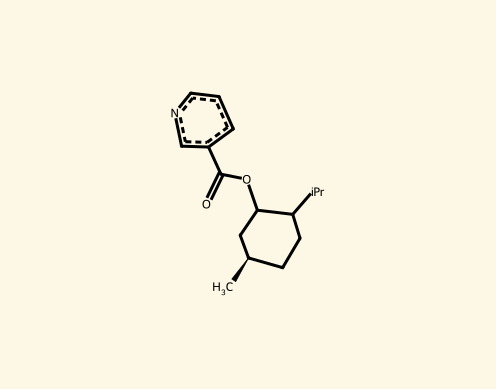 CC(C)C1CC[C@@H](C)CC1OC(=O)c1cccnc1